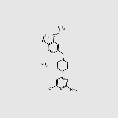 CCOc1cc(CN2CCC(c3cc(Cl)nc(N)n3)CC2)ccc1OC.N